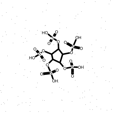 O=S(=O)(O)OC1C(OS(=O)(=O)O)C(OS(=O)(=O)O)C(OS(=O)(=O)O)C1OS(=O)(=O)O